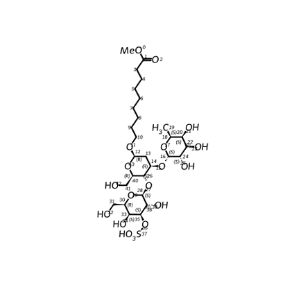 COC(=O)CCCCCCCCO[C@H]1C[C@@H](O[C@@H]2O[C@@H](C)[C@@H](O)[C@@H](O)[C@@H]2O)[C@H](O[C@@H]2O[C@H](CO)[C@H](O)[C@H](OS(=O)(=O)O)[C@H]2O)[C@@H](CO)O1